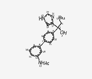 CCC(C)CC(O)(c1ccc(-c2cccc(NC(C)=O)c2)cc1)c1c[nH]cn1